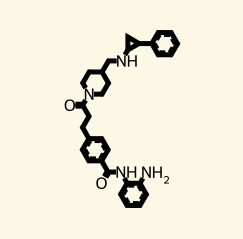 Nc1ccccc1NC(=O)c1ccc(CCC(=O)N2CCC(CNC3CC3c3ccccc3)CC2)cc1